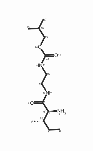 CC[C@H](C)[C@H](N)C(=O)NCCNC(=O)OCC(C)C